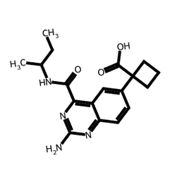 CCC(C)NC(=O)c1nc(N)nc2ccc(C3(C(=O)O)CCC3)cc12